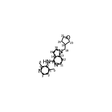 Cc1ccnc(C)c1Nc1nccc2c1ccn2CC1CCOC1